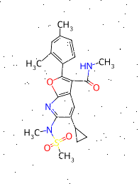 CNC(=O)c1c(-c2ccc(C)cc2C)oc2nc(N(C)S(C)(=O)=O)c(C3CC3)cc12